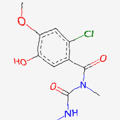 CNC(=O)N(C)C(=O)c1cc(O)c(OC)cc1Cl